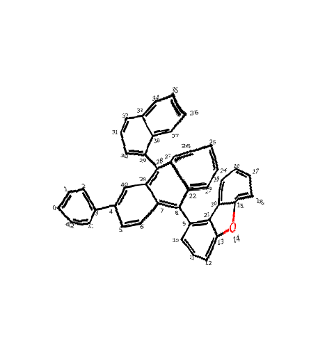 c1ccc(-c2ccc3c(-c4cccc5oc6ccccc6c45)c4ccccc4c(-c4cccc5ccccc45)c3c2)cc1